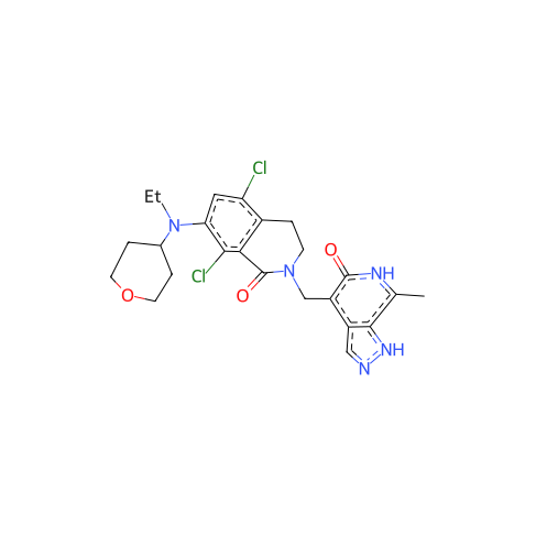 CCN(c1cc(Cl)c2c(c1Cl)C(=O)N(Cc1c(=O)[nH]c(C)c3[nH]ncc13)CC2)C1CCOCC1